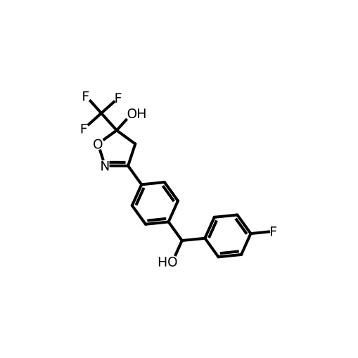 OC(c1ccc(F)cc1)c1ccc(C2=NOC(O)(C(F)(F)F)C2)cc1